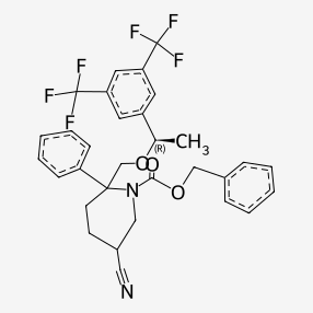 C[C@@H](OCC1(c2ccccc2)CCC(C#N)CN1C(=O)OCc1ccccc1)c1cc(C(F)(F)F)cc(C(F)(F)F)c1